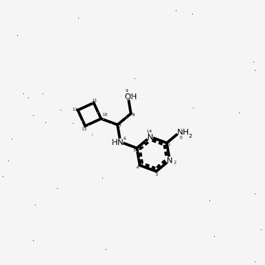 Nc1nccc(NC(CO)C2CCC2)n1